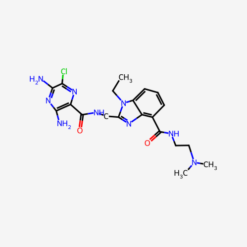 CCn1c(CNC(=O)c2nc(Cl)c(N)nc2N)nc2c(C(=O)NCCN(C)C)cccc21